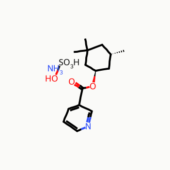 C[C@@H]1C[C@@H](OC(=O)c2cccnc2)CC(C)(C)C1.N.O=S(=O)(O)O